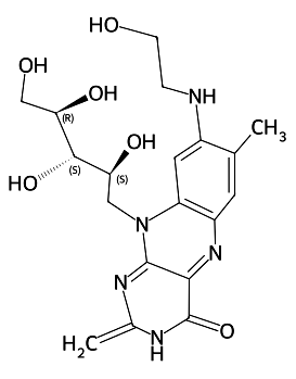 C=c1nc2c(c(=O)[nH]1)=Nc1cc(C)c(NCCO)cc1N2C[C@H](O)[C@H](O)[C@H](O)CO